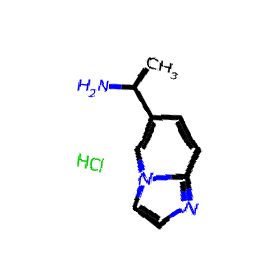 CC(N)c1ccc2nccn2c1.Cl